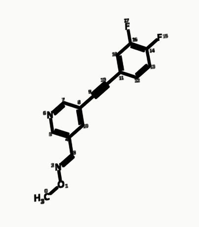 CON=Cc1cncc(C#Cc2ccc(F)c(F)c2)c1